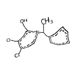 CC(c1ccccc1)n1cc(Cl)c(Cl)c1O